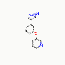 [c]1ccc(-c2cn[nH]c2)cc1Oc1cccnc1